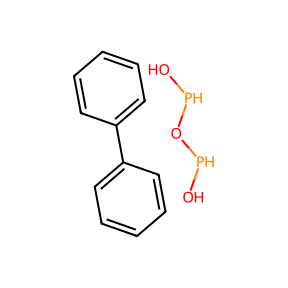 OPOPO.c1ccc(-c2ccccc2)cc1